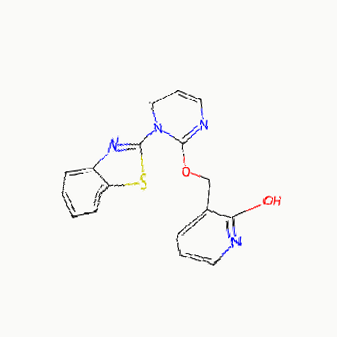 Oc1ncccc1COC1=NC=C[CH]N1c1nc2ccccc2s1